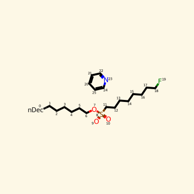 CCCCCCCCCCCCCCCCOS(=O)(=O)CCCCCCCCF.c1ccncc1